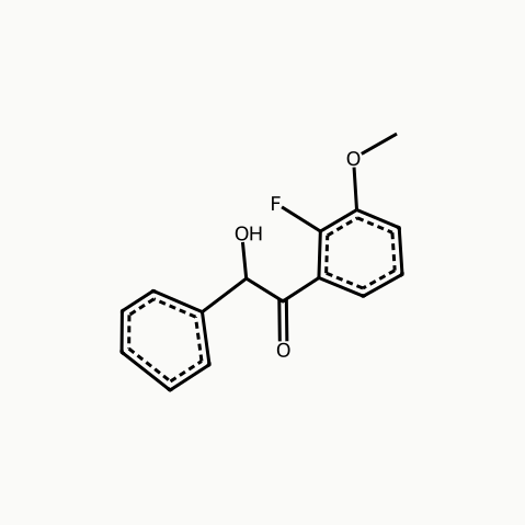 COc1cccc(C(=O)C(O)c2ccccc2)c1F